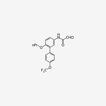 CCCOc1ccc(NC(=O)C=O)cc1-c1ccc(OC(F)(F)F)cc1